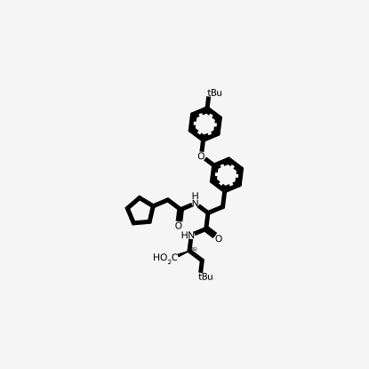 CC(C)(C)C[C@H](NC(=O)C(Cc1cccc(Oc2ccc(C(C)(C)C)cc2)c1)NC(=O)CC1CCCC1)C(=O)O